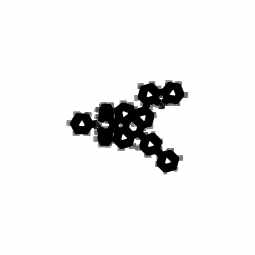 c1ccc(-c2ccc(C(c3ccc(-c4cccc5c4sc4ccccc45)cc3)c3cccc4c3-c3ccccc3C43c4ccccc4N(c4ccccc4)c4ccccc43)cc2)cc1